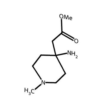 COC(=O)CC1(N)CCN(C)CC1